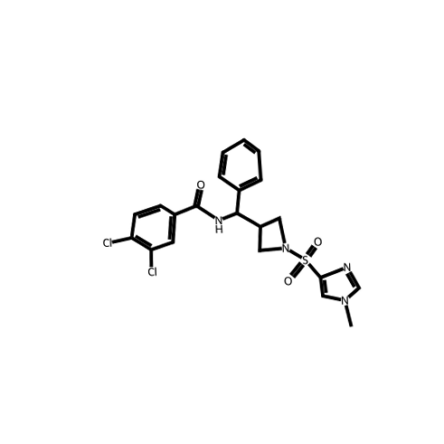 Cn1cnc(S(=O)(=O)N2CC(C(NC(=O)c3ccc(Cl)c(Cl)c3)c3ccccc3)C2)c1